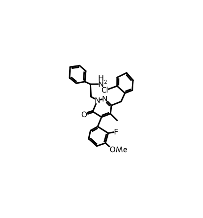 COc1cccc(-c2c(C)c(Cc3ccccc3Cl)nn(CC(N)c3ccccc3)c2=O)c1F